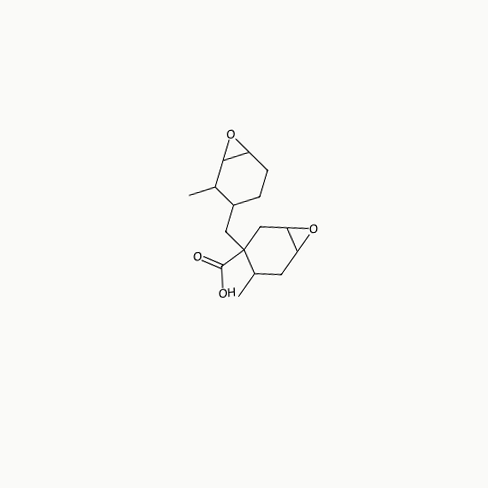 CC1C(CC2(C(=O)O)CC3OC3CC2C)CCC2OC21